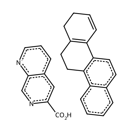 C1=CC2=C(CC1)CCc1c2ccc2ccccc12.O=C(O)c1cc2cccnc2cn1